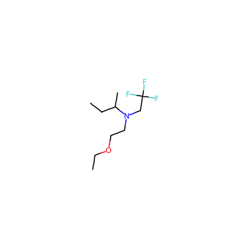 CCOCCN(CC(F)(F)F)C(C)CC